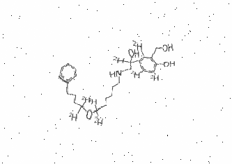 [2H]c1c([2H])c(C([2H])(O)CNCCCCCC([2H])([2H])OC([2H])([2H])CCCc2ccccc2)c([2H])c(CO)c1O